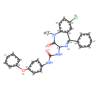 CN1C(=O)C(NC(=O)Nc2ccc(Oc3ccccc3)cc2)N=C(c2ccccc2)c2cc(Cl)ccc21